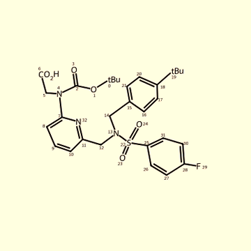 CC(C)(C)OC(=O)N(CC(=O)O)c1cccc(CN(Cc2ccc(C(C)(C)C)cc2)S(=O)(=O)c2ccc(F)cc2)n1